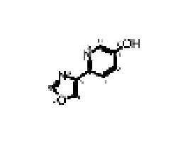 Oc1ccc(-c2cocn2)nc1